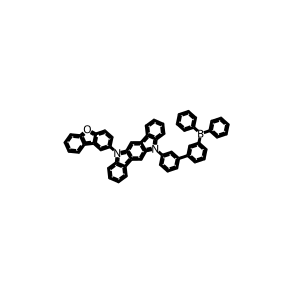 c1ccc(B(c2ccccc2)c2cccc(-c3cccc(-n4c5ccccc5c5cc6c(cc54)c4ccccc4n6-c4ccc5oc6ccccc6c5c4)c3)c2)cc1